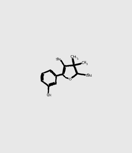 CC(C)(C)C1=C(c2cccc(O)c2)OC(C(C)(C)C)C1(C)C